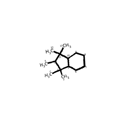 CC1C(C)(C)C2CCCCC2C1(C)C